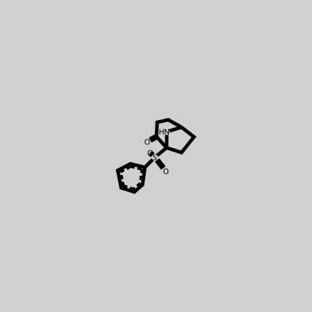 O=C1CCC2CCC1(S(=O)(=O)c1ccccc1)N2